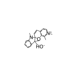 Cc1c2c(cc[n+]1C)C=CC1(O2)N(C)c2ccccc2C1(C)C.[OH-]